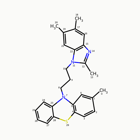 Cc1ccc2c(c1)N(CCCn1c(C)nc3cc(C)c(C)cc31)c1ccccc1S2